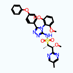 COc1cccc(O)c1-n1c(NS(=O)(=O)[C@@H](C)[C@H](OC)c2ncc(C)cn2)nnc1-c1c#cc(Oc2ccccc2)cc1